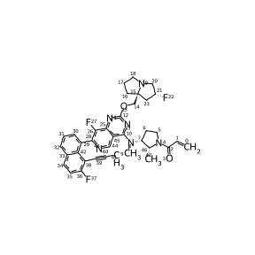 C=CC(=O)N1CC[C@@H](N(C)c2nc(OC[C@@]34CCCN3C[C@H](F)C4)nc3c(F)c(-c4cccc5ccc(F)c(C#CC)c45)ncc23)[C@H]1C